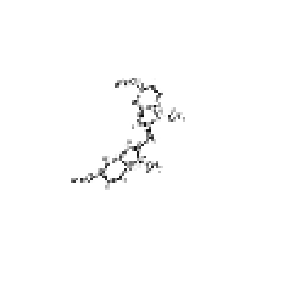 COc1ccc2c(c1)s/c(=N\c1sc3cc(OC)ccc3[n+]1C)n2C